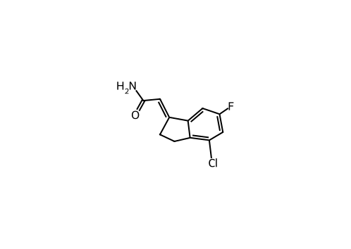 NC(=O)/C=C1\CCc2c(Cl)cc(F)cc21